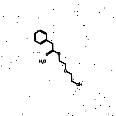 O.O=C(Cc1ccccc1)OCCOCCO